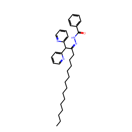 CCCCCCCCCCCCCCC(=NNC(=O)c1ccccc1)C(c1ccccn1)c1ccccn1